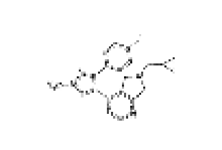 Cn1cc(-c2ccnc3c2CN(CC2CC2)C3)c(-c2ccc(F)cc2)n1